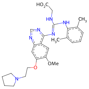 COc1cc2c(/N=C(\NCC(=O)O)Nc3c(C)cccc3C)ncnc2cc1OCCN1CCCC1